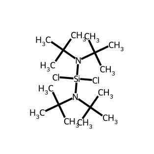 CC(C)(C)N(C(C)(C)C)[Si](Cl)(Cl)N(C(C)(C)C)C(C)(C)C